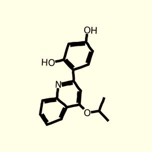 CC(C)Oc1cc(-c2ccc(O)cc2O)nc2ccccc12